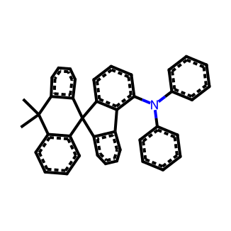 CC1(C)c2ccccc2C2(c3ccccc3-c3c(N(c4ccccc4)c4ccccc4)cccc32)c2ccccc21